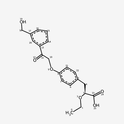 CCO[C@@H](Cc1ccc(OCC(=O)c2cccc(CO)c2)cc1)C(=O)O